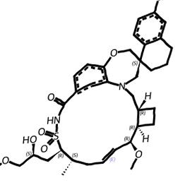 COC[C@@H](O)C[C@@H]1[C@@H](C)C/C=C/[C@H](OC)[C@@H]2CC[C@H]2CN2C[C@@]3(CCCc4cc(Cl)ccc43)COc3ccc(cc32)C(=O)NS1(=O)=O